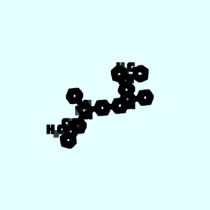 CC1C=CC=CC1n1c2ccccc2c2cc3c(cc21)c(-c1ccccc1)nc1ccc(-c2ccc(-c4nc(-c5ccccc5)nc(-c5ccc6c(c5)C(C)(C)c5ccccc5-6)n4)cc2)cc13